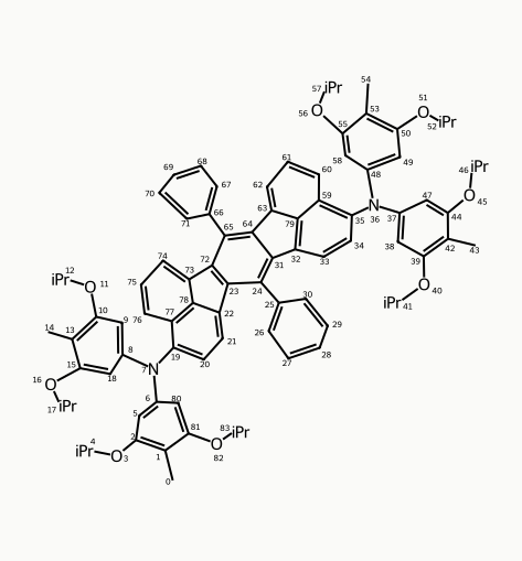 Cc1c(OC(C)C)cc(N(c2cc(OC(C)C)c(C)c(OC(C)C)c2)c2ccc3c4c(-c5ccccc5)c5c6ccc(N(c7cc(OC(C)C)c(C)c(OC(C)C)c7)c7cc(OC(C)C)c(C)c(OC(C)C)c7)c7cccc(c5c(-c5ccccc5)c4c4cccc2c43)c76)cc1OC(C)C